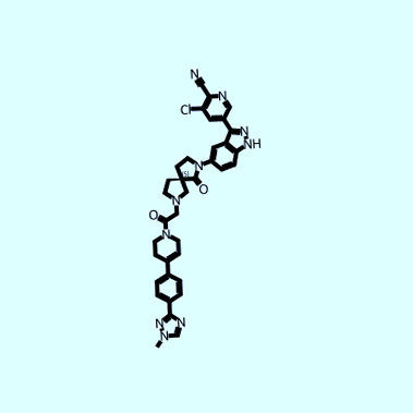 Cn1cnc(-c2ccc(C3=CCN(C(=O)CN4CC[C@]5(CCN(c6ccc7[nH]nc(-c8cnc(C#N)c(Cl)c8)c7c6)C5=O)C4)CC3)cc2)n1